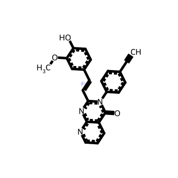 C#Cc1ccc(-n2c(/C=C/c3ccc(O)c(OC)c3)nc3ncccc3c2=O)cc1